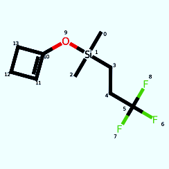 C[Si](C)(CCC(F)(F)F)OC1=CCC1